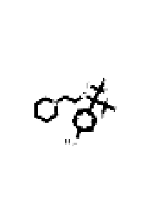 Cc1ccc(C(OCCN2CCCCC2)(C(F)(F)F)C(F)(F)F)cc1